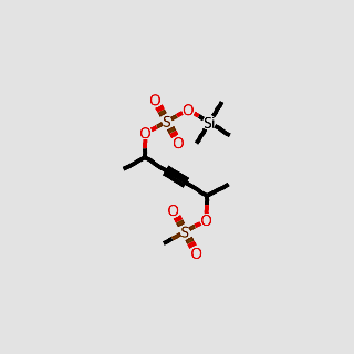 CC(C#CC(C)OS(=O)(=O)O[Si](C)(C)C)OS(C)(=O)=O